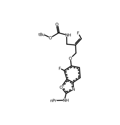 CCCNc1nc2ccc(OCC(=CF)CNC(=O)OC(C)(C)C)c(F)c2o1